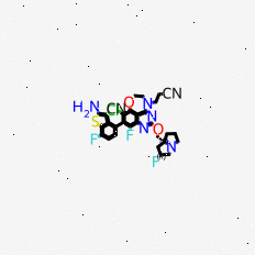 N#CCCN1CCOc2c(Cl)c(-c3ccc(F)c4sc(N)c(C#N)c34)c(F)c3nc(OC[C@@]45CCCN4C[C@H](F)C5)nc1c23